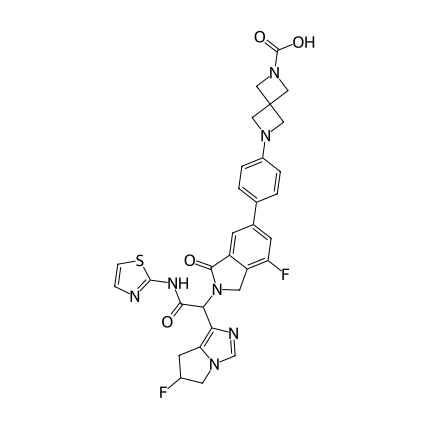 O=C(Nc1nccs1)C(c1ncn2c1CC(F)C2)N1Cc2c(F)cc(-c3ccc(N4CC5(CN(C(=O)O)C5)C4)cc3)cc2C1=O